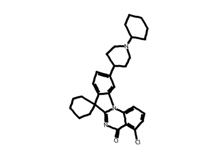 O=c1nc2n(c3cccc(Cl)c13)-c1cc(C3CCN(C4CCCCC4)CC3)ccc1C21CCCCC1